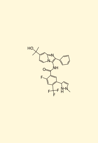 CN1C=CC(c2cc(C(=O)Nc3c(-c4ccccc4)nc4cc(C(C)(C)O)ccn34)c(F)cc2C(F)(F)F)N1